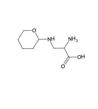 NC(CNC1CCCCO1)C(=O)O